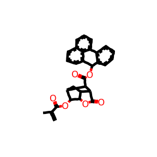 C=C(C)C(=O)OC1C2CC3C1OC(=O)C3C2C(=O)OC1c2ccccc2-c2cccc3cccc1c23